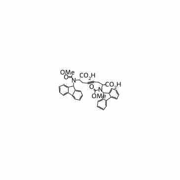 COC(=O)N(C1c2ccccc2-c2ccccc21)[C@@H](CC#CC[C@@H](C(=O)O)N(C(=O)OC)C1c2ccccc2-c2ccccc21)C(=O)O